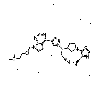 C[Si](C)(C)CCOCn1ccc2c(-c3ccn(C(CC#N)C4CCN(c5scnc5C#N)C4)c3)ncnc21